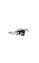 Cc1cc2c3c(c1)c(O)c(C(=O)NCC(=O)O)c(=O)n3CCO2